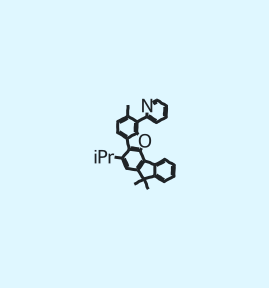 Cc1ccc2c(oc3c4c(cc(C(C)C)c32)C(C)(C)c2ccccc2-4)c1-c1ccccn1